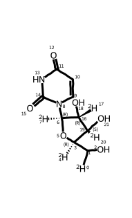 [2H]C(O)[C@@]1([2H])O[C@@]([2H])(n2ccc(=O)[nH]c2=O)[C@]([2H])(O)[C@]1([2H])O